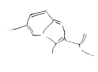 COC(=O)c1nc2ccc(N)cn2c1C